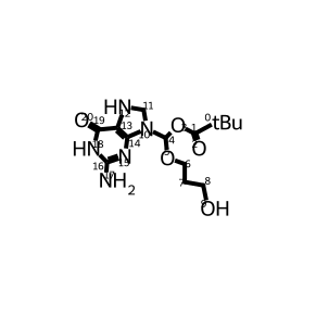 CC(C)(C)C(=O)OC(OCCCO)N1CNc2c1nc(N)[nH]c2=O